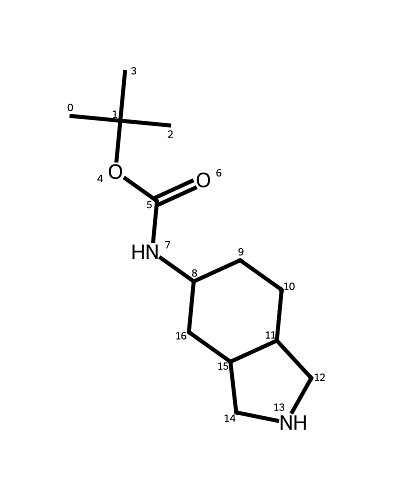 CC(C)(C)OC(=O)NC1CCC2CNCC2C1